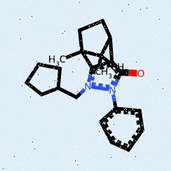 CC12CCC(c3c1n(CC1CCCC1)n(-c1ccccc1)c3=O)C2(C)C